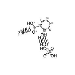 O.O.O.O.O.O=C(O)c1ccccc1O.O=S(=O)(O)O.[NaH].[Zn]